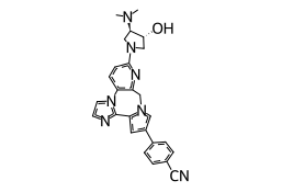 CN(C)[C@@H]1CN(c2ccc3c(n2)Cn2cc(-c4ccc(C#N)cc4)cc2-c2nccn2-3)C[C@H]1O